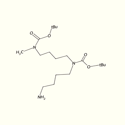 CN(CCCCN(CCCCN)C(=O)OC(C)(C)C)C(=O)OC(C)(C)C